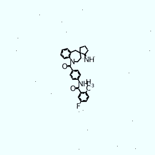 Cc1ccc(F)cc1C(=O)Nc1ccc(C(=O)N2CCC3(CCCC3=N)Cc3ccccc32)cc1